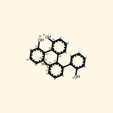 Oc1ccccc1-c1cccc(O)c1-c1cccc(O)c1-c1c(O)cccc1O